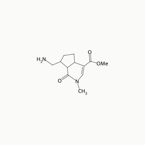 COC(=O)C1=CN(C)C(=O)C2C(CN)CCC12